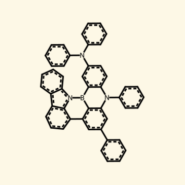 c1ccc(-c2cc3c4c(c2)N(c2ccccc2)c2ccc(N(c5ccccc5)c5ccccc5)cc2B4n2c4ccccc4c4cccc-3c42)cc1